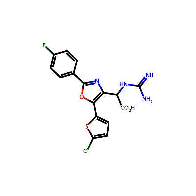 N=C(N)NC(C(=O)O)c1nc(-c2ccc(F)cc2)oc1-c1ccc(Cl)s1